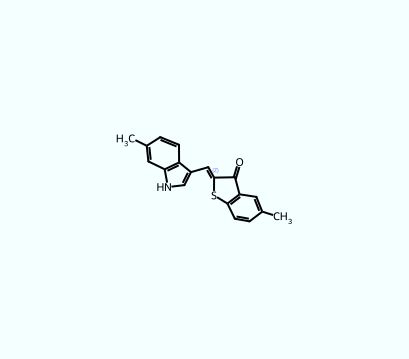 Cc1ccc2c(c1)C(=O)/C(=C/c1c[nH]c3cc(C)ccc13)S2